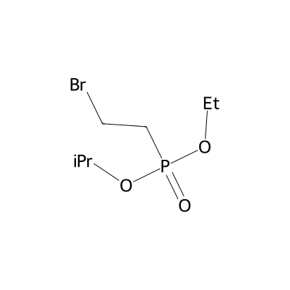 CCOP(=O)(CCBr)OC(C)C